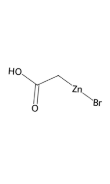 O=C(O)[CH2][Zn][Br]